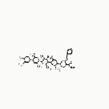 COC(=O)C1CCC(C2CC(C)C(C3CC(C)C(C4CC(C)C(C5CCC(C(C)=O)C(C)C5)CC4C)CC3C)CC2C)CC1OCc1ccccc1